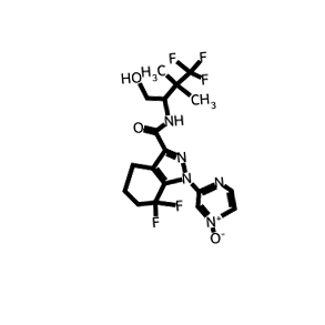 CC(C)(C(CO)NC(=O)c1nn(-c2c[n+]([O-])ccn2)c2c1CCCC2(F)F)C(F)(F)F